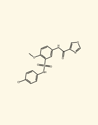 COc1ccc(NC(=O)c2cocn2)cc1S(=O)(=O)Nc1ccc(Cl)cc1